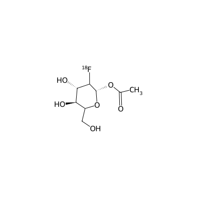 CC(=O)O[C@@H]1OC(CO)[C@@H](O)[C@H](O)C1[18F]